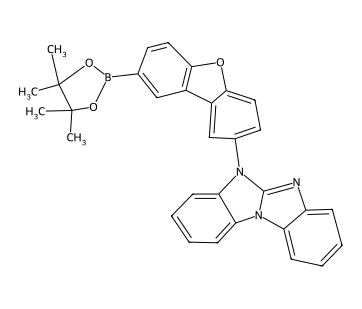 CC1(C)OB(c2ccc3oc4ccc(-n5c6ccccc6n6c7ccccc7nc56)cc4c3c2)OC1(C)C